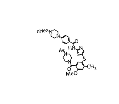 CCCCCCN1CCN(c2ccc(C(=O)Nc3ncc(Sc4cc(C(=O)N5CCN(C(C)=O)CC5)c(OC)cc4C)s3)cc2)CC1